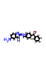 Nc1ccc2nc(NCc3ccc(C(=O)c4ccccc4)cc3)[nH]c2c1